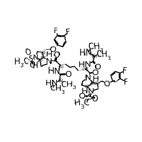 CN[C@@H](C)C(=O)N[C@@H](CCCC[C@H](NC(=O)[C@H](C)NC)C(=O)N1CC[C@@H]2[C@H]1[C@@H](COc1ccc(F)c(F)c1)CN2S(C)(=O)=O)C(=O)N1CC[C@@H]2[C@H]1[C@@H](COc1ccc(F)c(F)c1)CN2S(C)(=O)=O